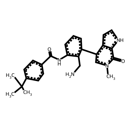 Cn1cc(-c2cccc(NC(=O)c3ccc(C(C)(C)C)cc3)c2CN)c2cc[nH]c2c1=O